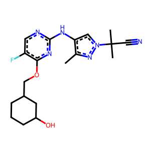 Cc1nn(C(C)(C)C#N)cc1Nc1ncc(F)c(OCC2CCCC(O)C2)n1